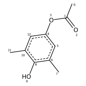 CC(=O)Oc1cc(C)c(O)c(C)c1